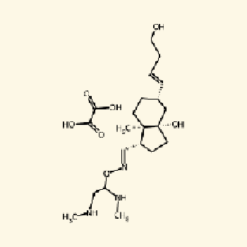 CNCC(NC)ON=C[C@H]1CC[C@]2(O)C[C@@H](/C=C/CCO)CC[C@]12C.O=C(O)C(=O)O